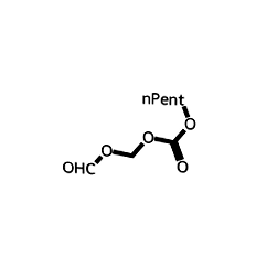 CCCCCOC(=O)OCOC=O